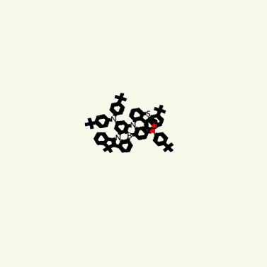 CC(C)(C)c1ccc(N(c2ccc(C(C)(C)C)cc2)c2ccc3c(c2)N(c2cccc4sc5ccccc5c24)c2cc(N(c4ccc(C(C)(C)C)cc4)c4ccc(C(C)(C)C)cc4)cc4c2B3c2cccc3c5c(n-4c23)-c2ccccc2C5(C)C)cc1